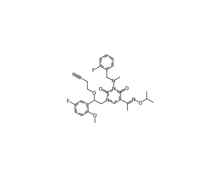 COc1ccc(F)cc1C(Cn1cc(/C(C)=N/OC(C)C)c(=O)n(N(C)Cc2ccccc2F)c1=O)OCCC#N